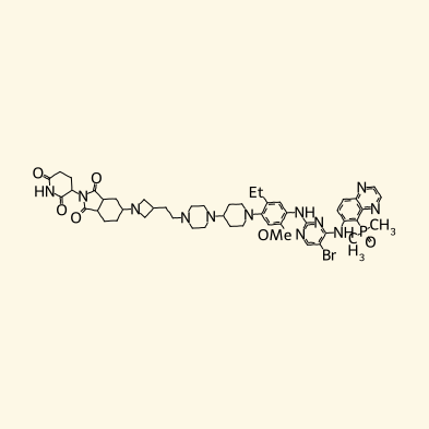 CCc1cc(Nc2ncc(Br)c(Nc3ccc4nccnc4c3P(C)(C)=O)n2)c(OC)cc1N1CCC(N2CCN(CCC3CN(C4CCC5C(=O)N(C6CCC(=O)NC6=O)C(=O)C5C4)C3)CC2)CC1